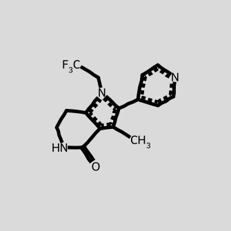 Cc1c2c(n(CC(F)(F)F)c1-c1ccncc1)CCNC2=O